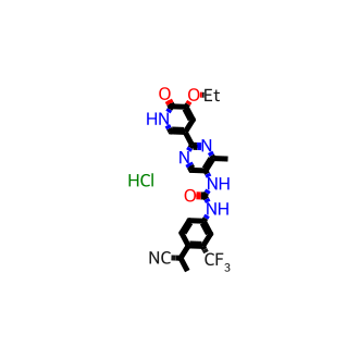 CCOc1cc(-c2ncc(NC(=O)Nc3ccc(C(C)C#N)c(C(F)(F)F)c3)c(C)n2)c[nH]c1=O.Cl